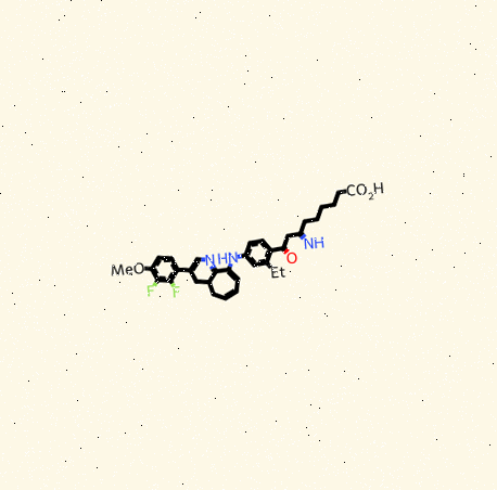 CCc1cc(NC2=CC=CCC3CC(c4ccc(OC)c(F)c4F)=CN=C23)ccc1C(=O)CC(=N)CCCCCC(=O)O